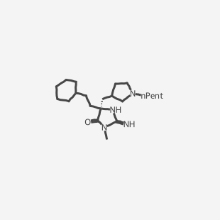 CCCCCN1CCC(C[C@]2(CCC3CCCCC3)NC(=N)N(C)C2=O)C1